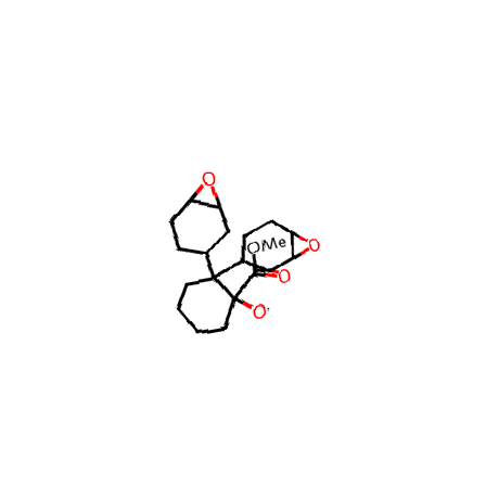 COC(=O)C1([O])CCCCC1(C1CCC2OC2C1)C1CCC2OC2C1